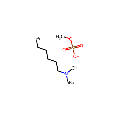 CCCCN(C)CCCCCC(C)C.COS(=O)(=O)O